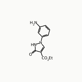 CCOC(=O)c1cn(-c2cccc(N)c2)[nH]c1=O